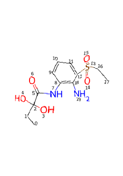 CCC(O)(O)C(=O)Nc1cccc(S(=O)(=O)CC)c1N